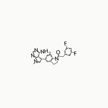 Cn1cc(-c2ccc3c(c2)CCN3C(=O)Cc2cc(F)cc(F)c2)c2c(N)ncnc21